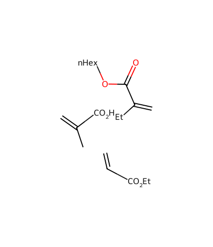 C=C(C)C(=O)O.C=C(CC)C(=O)OCCCCCC.C=CC(=O)OCC